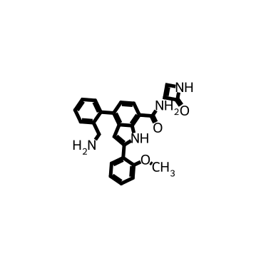 COc1ccccc1-c1cc2c(-c3ccccc3CN)ccc(C(N)=O)c2[nH]1.O=C1C=CN1